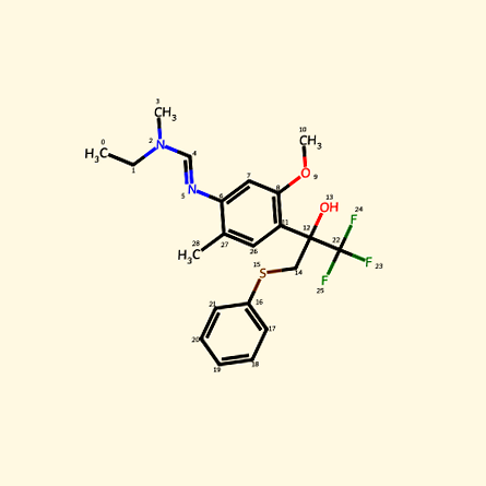 CCN(C)/C=N/c1cc(OC)c(C(O)(CSc2ccccc2)C(F)(F)F)cc1C